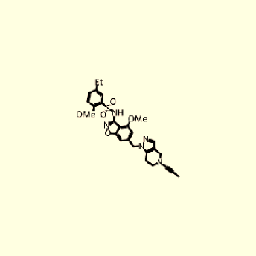 CC#CN1CCc2c(cnn2Cc2cc(OC)c3c(NS(=O)(=O)c4cc(CC)ccc4OC)noc3c2)C1